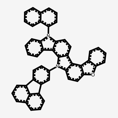 c1ccc2c(-n3c4ccccc4c4c3ccc3c5c6c(ccc5n(-c5ccc7c(c5)-c5cccc8cccc-7c58)c34)oc3ccccc36)cccc2c1